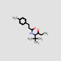 CCC(=O)C(NC(=O)CCc1ccc(C)cc1)C(C)(C)C